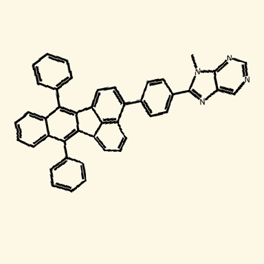 Cn1c(-c2ccc(-c3ccc4c5c(cccc35)-c3c-4c(-c4ccccc4)c4ccccc4c3-c3ccccc3)cc2)nc2cncnc21